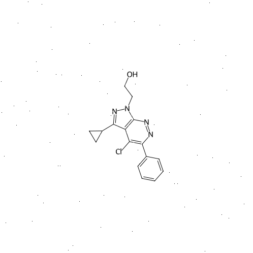 OCCn1nc(C2CC2)c2c(Cl)c(-c3ccccc3)nnc21